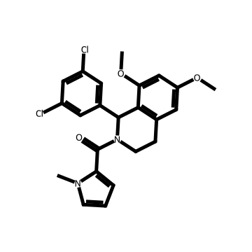 COc1cc2c(c(OC)c1)C(c1cc(Cl)cc(Cl)c1)N(C(=O)c1cccn1C)CC2